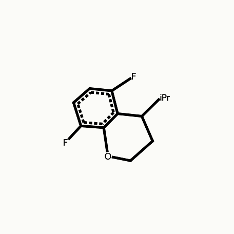 CC(C)C1CCOc2c(F)ccc(F)c21